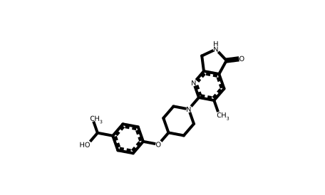 Cc1cc2c(nc1N1CCC(Oc3ccc(C(C)O)cc3)CC1)CNC2=O